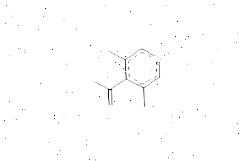 Cc1cncc(C)c1C(N)=O